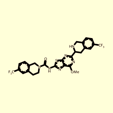 COc1nc(C2Cc3cc(C(F)(F)F)ccc3CN2)nc2sc(NC(=O)N3CCc4cc(C(F)(F)F)ccc4C3)nc12